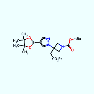 CCOC(=O)CC1(n2cc(B3OC(C)(C)C(C)(C)O3)cn2)CN(C(=O)OC(C)(C)C)C1